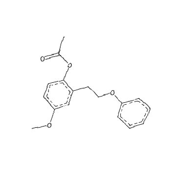 COc1ccc(OC(C)=O)c(CCOc2ccccc2)c1